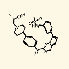 C[C@H](O)CN1CCC(c2ccc(Nc3ncc4ccc(-c5cccc(NS(C)(=O)=O)c5)n4n3)cc2)CC1